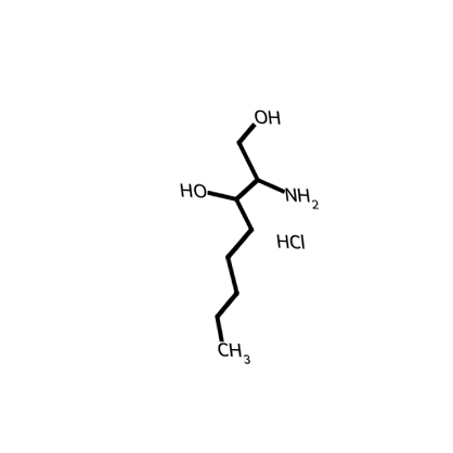 CCCCCC(O)C(N)CO.Cl